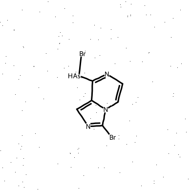 Br[AsH]c1nccn2c(Br)ncc12